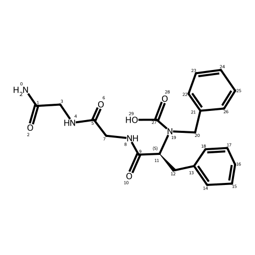 NC(=O)CNC(=O)CNC(=O)[C@H](Cc1ccccc1)N(Cc1ccccc1)C(=O)O